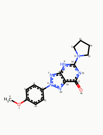 COc1ccc(-n2nc3[nH]c(N4CCCC4)nc(=O)c3n2)cc1